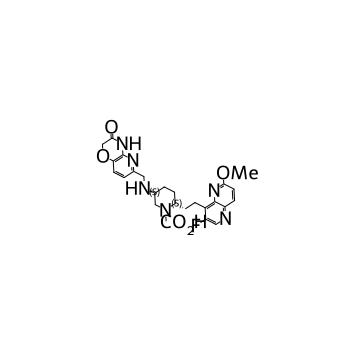 COc1ccc2ncc(F)c(CC[C@H]3CC[C@H](NCc4ccc5c(n4)NC(=O)CO5)CN3C(=O)O)c2n1